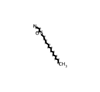 CCCCCCCCCCCCCCCCSC(=O)CC#N